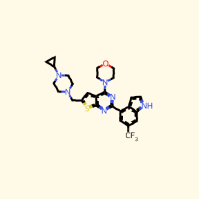 FC(F)(F)c1cc(-c2nc(N3CCOCC3)c3cc(CN4CCN(C5CC5)CC4)sc3n2)c2cc[nH]c2c1